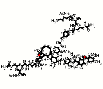 CCN(C(=O)OCc1ccc(NC(=O)[C@H](CCCNC(N)=O)NC(=O)[C@@H](NC(=O)[C@H](CCCCN)NC(C)=O)C(C)C)cc1)[C@H]1CO[C@@H](O[C@H]2[C@H](O[C@H]3C#CC=CC#C[C@]4(O)CC(=O)C(NC(=O)OC)=C3/C4=C\CSSC(C)(C)CCNC(=O)[C@H](CCCNC(N)=O)NC(=O)[C@@H](NC(C)=O)C(C)C)O[C@H](C)[C@@H](NO[C@H]3C[C@H](O)[C@H](SC(=O)c4c(C)c(I)c(O[C@@H]5O[C@@H](C)[C@H](O)[C@@H](OC)[C@H]5O)c(OC)c4OC)[C@@H](C)O3)[C@@H]2O)C[C@@H]1OC